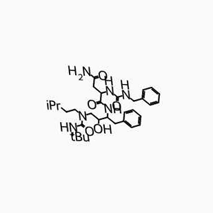 CC(C)CCN(CC(O)C(Cc1ccccc1)NC(=O)C(CC(N)=O)NC(=O)NCc1ccccc1)C(=O)NC(C)(C)C